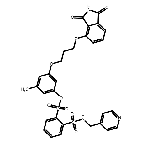 Cc1cc(OCCCOc2cccc3c2C(=O)NC3=O)cc(OS(=O)(=O)c2ccccc2S(=O)(=O)NCc2ccncc2)c1